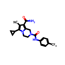 N#Cc1c(C(N)=O)c2n(c1C1CC1)CCN(C(=O)Nc1ccc(C(F)(F)F)cc1)C2